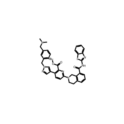 CN(C)Cc1cccc(Cn2cc(-c3ccc(N4CCc5cccc(C(=O)Nc6nc7ccccc7s6)c5C4)nc3C(=O)OC(C)(C)C)cn2)c1